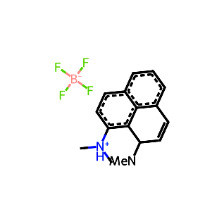 CNC1C=Cc2cccc3ccc([NH+](C)C)c1c23.F[B-](F)(F)F